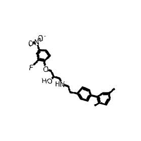 Cc1ccc(C)c(-c2ccc(CCNCC(O)COc3ccc([N+](=O)[O-])cc3F)cc2)c1